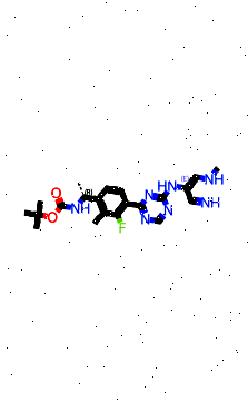 CN/C=C(\C=N)Nc1ncnc(-c2ccc([C@@H](C)NC(=O)OC(C)(C)C)c(C)c2F)n1